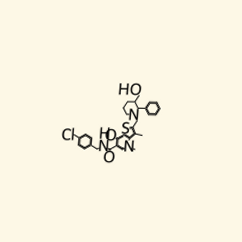 Cc1c(CN2CCCC(CO)C2c2ccccc2)sc2c(=O)c(C(=O)NCc3ccc(Cl)cc3)cn(C)c12